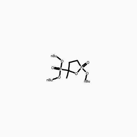 CCCCOP1(=O)CCC(C)(P(=O)(OCCCC)OCCCC)O1